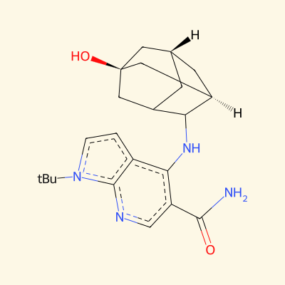 CC(C)(C)n1ccc2c(NC3C4C[C@H]5C[C@@H]3C[C@](O)(C4)C5)c(C(N)=O)cnc21